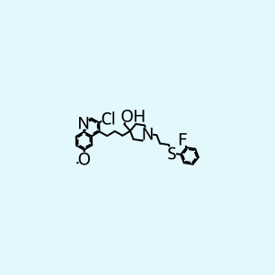 COc1ccc2ncc(Cl)c(CCCC3(CO)CCN(CCCSc4ccccc4F)CC3)c2c1